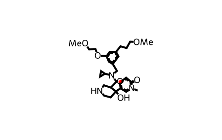 COCCCc1cc(CN(C(=O)C2CNCCC2(O)c2ccc(=O)n(C)c2)C2CC2)cc(OCCOC)c1